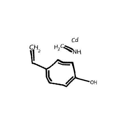 C=Cc1ccc(O)cc1.C=N.[Cd]